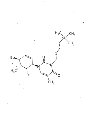 CC[C@H]1C=C[C@@H](n2cc(C)c(=O)n(COCC[Si](C)(C)C)c2=O)[C@H](F)[C@@H]1C